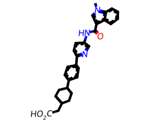 Cn1cc(C(=O)Nc2ccc(-c3ccc(C4CCC(CC(=O)O)CC4)cc3)nc2)c2ccccc21